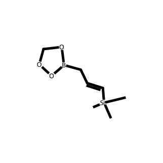 C[Si](C)(C)/C=C/CB1OCOO1